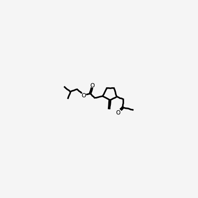 C=C1C(CC(C)=O)CCC1CC(=O)OCC(C)C